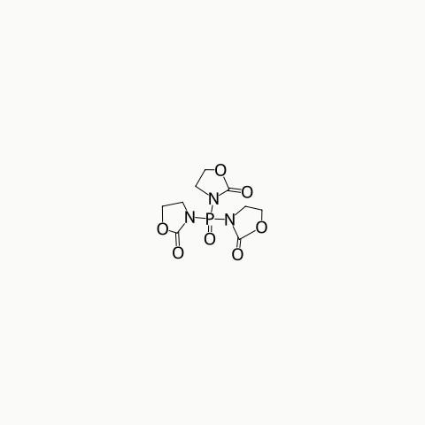 O=C1OCCN1P(=O)(N1CCOC1=O)N1CCOC1=O